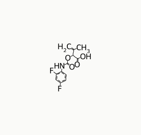 C=C(C)C(OC(=O)Nc1ccc(F)cc1F)C(=O)O